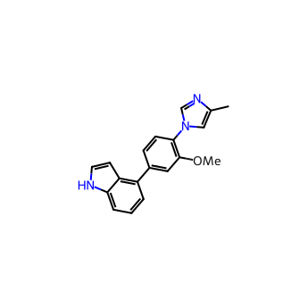 COc1cc(-c2cccc3[nH]ccc23)ccc1-n1cnc(C)c1